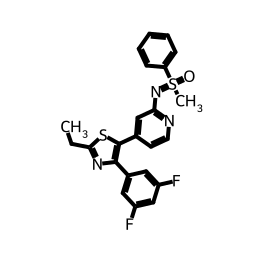 CCc1nc(-c2cc(F)cc(F)c2)c(-c2ccnc(N=S(C)(=O)c3ccccc3)c2)s1